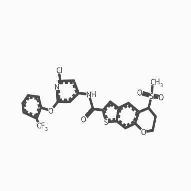 CS(=O)(=O)C1CCOc2cc3sc(C(=O)Nc4cc(Cl)nc(Oc5ccccc5C(F)(F)F)c4)cc3cc21